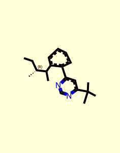 CC[C@@H](C)C(C)c1ccccc1-c1cc(C(C)(C)C)ncn1